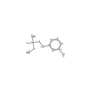 CC(O)(CS)COc1cccc(Cl)c1